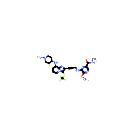 CNC(=O)c1cnc(OC)c(NCC#Cc2nc3c(N[C@@H]4CCN(C)C[C@@H]4F)cccn3c2SC(F)(F)F)n1